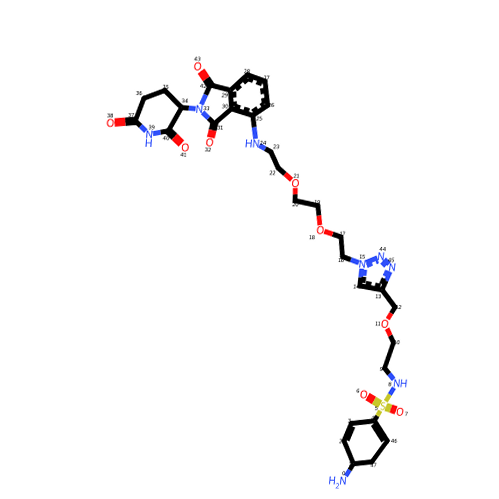 NC1C=CC(S(=O)(=O)NCCOCc2cn(CCOCCOCCNc3cccc4c3C(=O)N(C3CCC(=O)NC3=O)C4=O)nn2)=CC1